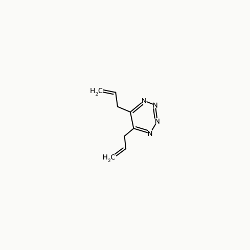 C=CCc1nnnnc1CC=C